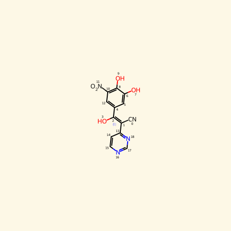 N#C/C(=C(/O)c1cc(O)c(O)c([N+](=O)[O-])c1)c1ccncn1